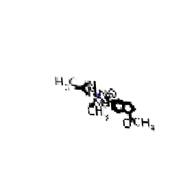 CCN/C(=N\S(=O)(=O)c1ccc2c(c1)CCC2C(C)=O)N1CC(CC)C=N1